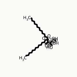 CCCCCCCCCCCCCC(=O)C(OC(C(O)CO)P(=O)(O)O)(C(=O)CCCCCCCCCCCCC)[C@@H](O)CO